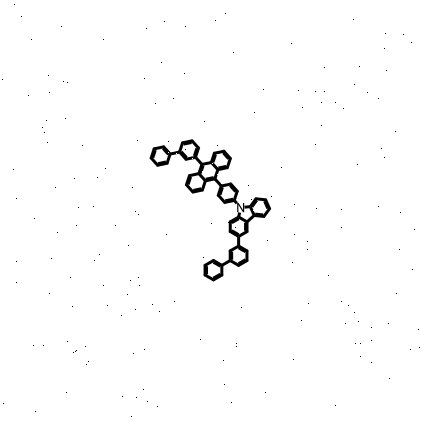 c1ccc(-c2cccc(-c3ccc4c(c3)c3ccccc3n4-c3ccc(-c4c5ccccc5c(-c5cccc(-c6ccccc6)c5)c5ccccc45)cc3)c2)cc1